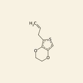 C=CCc1scc2c1OCCO2